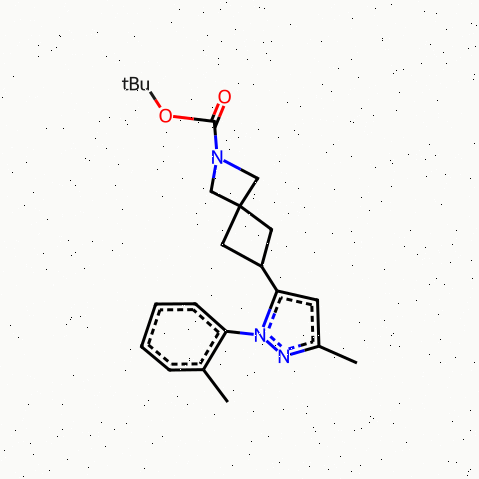 Cc1cc(C2CC3(C2)CN(C(=O)OC(C)(C)C)C3)n(-c2ccccc2C)n1